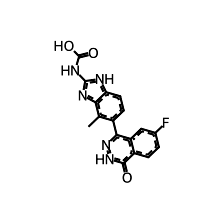 Cc1c(-c2n[nH]c(=O)c3ccc(F)cc23)ccc2[nH]c(NC(=O)O)nc12